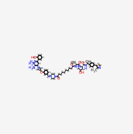 Cc1ncsc1-c1ccc([C@H](C)NC(=O)[C@@H]2C[C@@H](O)CN2C(=O)[C@@H](NC(=O)CCCCCCCCC(=O)N2CCN(Cc3cccc(OC4CN(C(/C=C(\N)c5ccccc5O)=C(N)N)C4)c3)CC2)C(C)(C)C)cc1